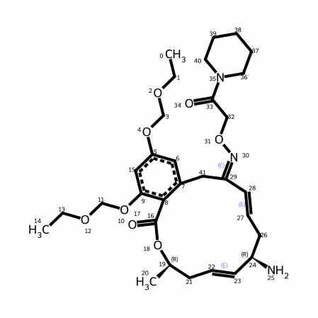 CCOCOc1cc2c(c(OCOCC)c1)C(=O)O[C@H](C)C/C=C/[C@H](N)C/C=C/C(=N/OCC(=O)N1CCCCC1)C2